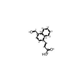 O=Cc1ccc(/C=C/C(=O)O)c2ccccc12